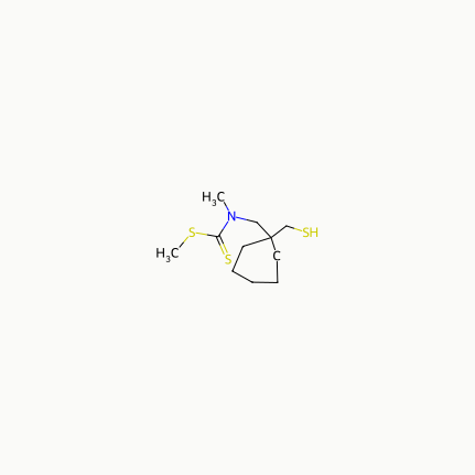 CSC(=S)N(C)CC1(CS)CCCCC1